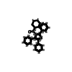 [O-][S+](C1CCCCC1)n1c(-c2ccccc2)nc(-c2ccccc2)c1-c1ccccc1